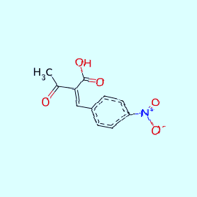 CC(=O)C(=Cc1ccc([N+](=O)[O-])cc1)C(=O)O